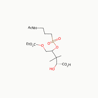 CCOC(=O)OCC(OS(=O)(=O)CCCNC(C)=O)C(C)(C)[C@@H](O)C(=O)O